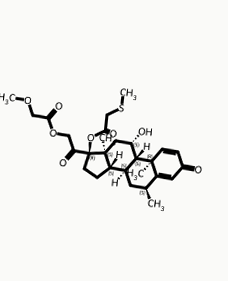 COCC(=O)OCC(=O)[C@@]1(OC(=O)CSC)CC[C@H]2[C@@H]3C[C@H](C)C4=CC(=O)C=C[C@]4(C)[C@H]3[C@@H](O)C[C@@]21C